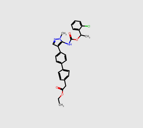 CCOC(=O)Cc1ccc(-c2ccc(-c3cnn(C)c3NC(=O)OC(C)c3ccccc3Cl)cc2)cc1